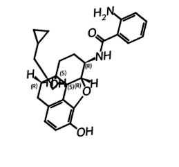 Nc1ccccc1C(=O)N[C@@H]1CC[C@@]2(O)[C@H]3Cc4ccc(O)c5c4[C@@]2(CCN3CC2CC2)[C@H]1O5